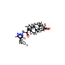 COC[C@]12CC[C@@](C)(O)C[C@H]1CC[C@H]1[C@@H]3CC[C@H](C(=O)Cn4cc([N+](=O)[O-])cn4)[C@@]3(C)CC[C@@H]12